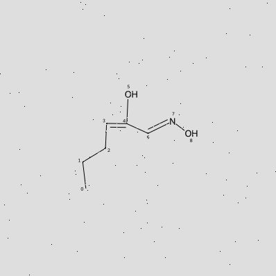 CCC/C=C(O)\C=N\O